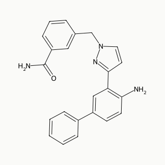 NC(=O)c1cccc(Cn2ccc(-c3cc(-c4ccccc4)ccc3N)n2)c1